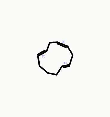 [CH]1/C=C/C/C=C\C/C=C/CC1